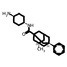 C[C@@]12CC3CC(C(=O)N[C@H]4CC[C@H](N)CC4)(C1)C[C@](c1ccccc1)(C3)C2